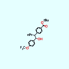 CCCC(c1ccc(C(=O)OC(C)(C)C)cc1)C(O)c1ccc(OC(F)(F)F)cc1